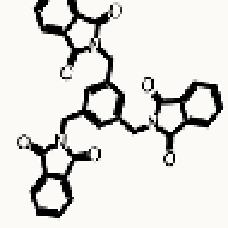 O=C1c2ccccc2C(=O)N1Cc1cc(CN2C(=O)c3ccccc3C2=O)cc(CN2C(=O)c3ccccc3C2=O)c1